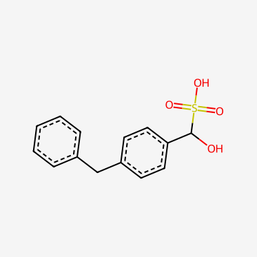 O=S(=O)(O)C(O)c1ccc(Cc2ccccc2)cc1